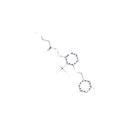 CCCC(=O)NNc1nccc(OCc2ccccc2)c1C(F)(F)F